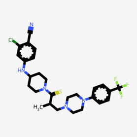 CC(CN1CCN(c2ccc(C(F)(F)F)cc2)CC1)C(=S)N1CCC(Nc2ccc(C#N)c(Cl)c2)CC1